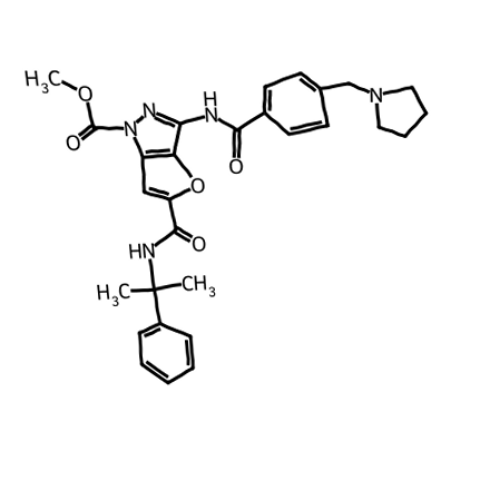 COC(=O)n1nc(NC(=O)c2ccc(CN3CCCC3)cc2)c2oc(C(=O)NC(C)(C)c3ccccc3)cc21